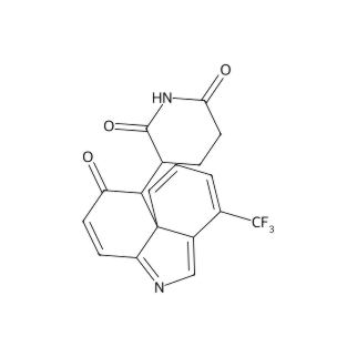 O=C1CCC(C2C(=O)C=CC3=NC=C4C(C(F)(F)F)=CC=CC432)C(=O)N1